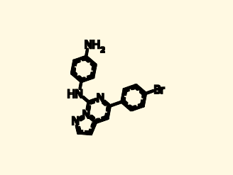 Nc1ccc(Nc2nc(-c3ccc(Br)cc3)cc3ccnn23)cc1